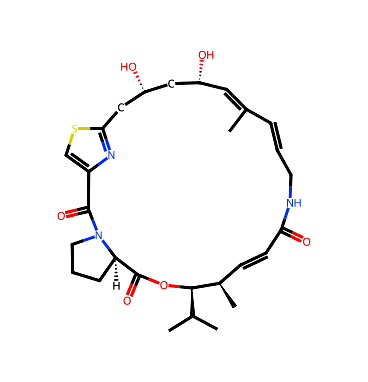 CC1=C\[C@@H](O)C[C@@H](O)Cc2nc(cs2)C(=O)N2CCC[C@@H]2C(=O)O[C@H](C(C)C)[C@H](C)/C=C/C(=O)NC\C=C\1